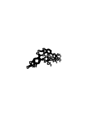 CC1(C)OB(c2ccc3oc(=O)n(OC(=O)c4cc5oc(=O)[nH]c5cc4B4OC(C)(C)C(C)(C)O4)c3c2)OC1(C)C